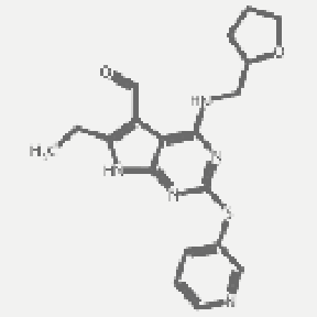 CCc1[nH]c2nc(Sc3cccnc3)nc(NCC3CCCO3)c2c1C=O